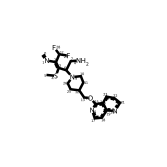 C=N/C(=C(\SC)C(CN)N1CCC(COc2nccc3ncccc23)CC1)C(F)F